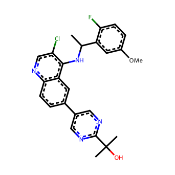 COc1ccc(F)c(C(C)Nc2c(Cl)cnc3ccc(-c4cnc(C(C)(C)O)nc4)cc23)c1